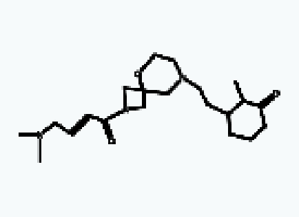 CC1C(=O)CCCC1CCN1CCOC2(C1)CN(C(=O)C=CCN(C)C)C2